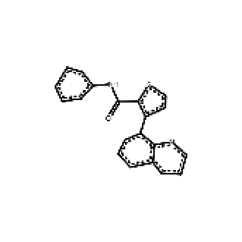 O=C(Nc1ccccc1)c1sccc1-c1cccc2cccnc12